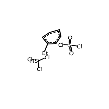 CCc1ccccc1.Cl[SiH](Cl)Cl.O=S(=O)(Cl)Cl